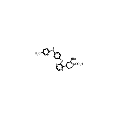 Cc1ccc(Nc2ccc(Oc3nccnc3C3CCN(C(=O)O)C(C(C)(C)C)C3)cc2)nc1